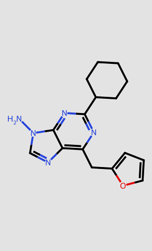 Nn1cnc2c(Cc3ccco3)nc(C3CCCCC3)nc21